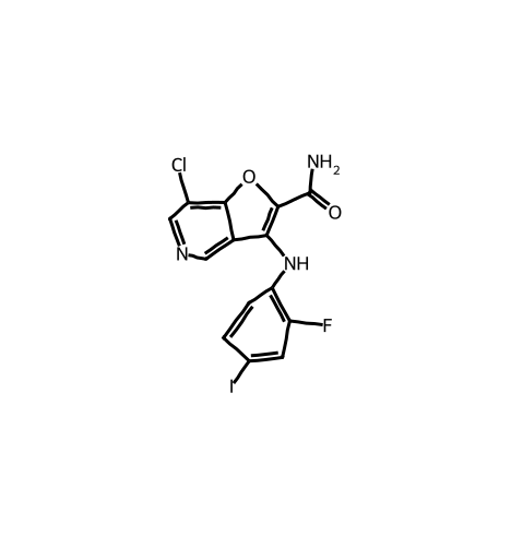 NC(=O)c1oc2c(Cl)cncc2c1Nc1ccc(I)cc1F